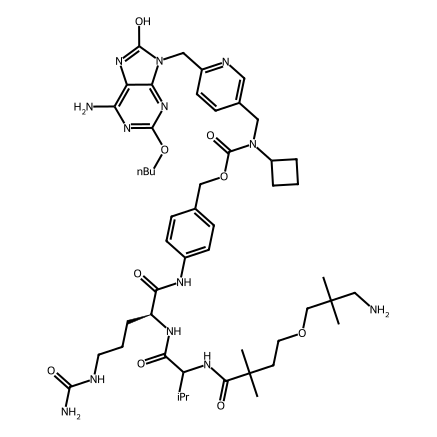 CCCCOc1nc(N)c2nc(O)n(Cc3ccc(CN(C(=O)OCc4ccc(NC(=O)[C@H](CCCNC(N)=O)NC(=O)C(NC(=O)C(C)(C)CCOCC(C)(C)CN)C(C)C)cc4)C4CCC4)cn3)c2n1